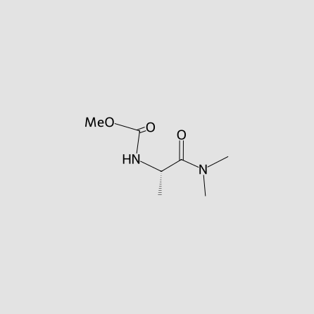 COC(=O)N[C@@H](C)C(=O)N(C)C